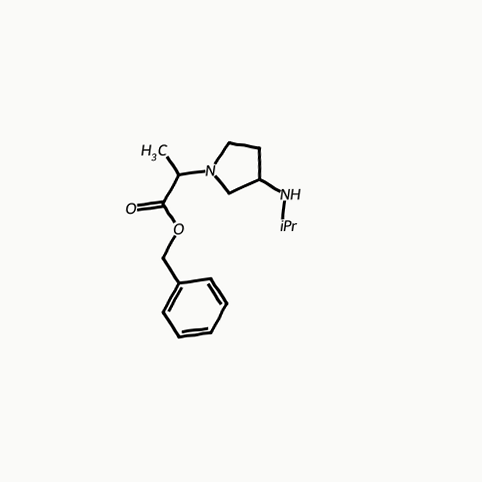 CC(C)NC1CCN(C(C)C(=O)OCc2ccccc2)C1